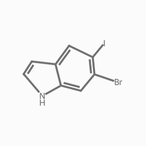 Brc1cc2[nH]ccc2cc1I